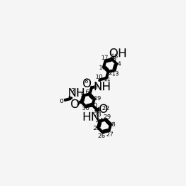 CC(=N)Oc1cc(C(=O)NCCc2ccc(O)cc2)cc(C(=O)Nc2ccccc2)c1